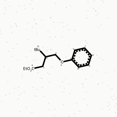 CCOC(=O)CC(COc1ccccc1)C(C)(C)C